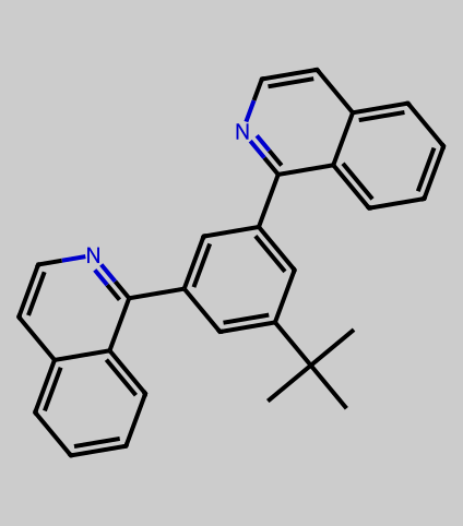 CC(C)(C)c1cc(-c2nccc3ccccc23)cc(-c2nccc3ccccc23)c1